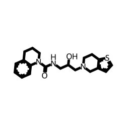 O=C(NCC(O)CN1CCc2sccc2C1)N1CCCc2ccccc21